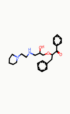 O=C(c1ccccc1)C(Cc1ccccc1)OCC(O)CNCCN1CCCCC1